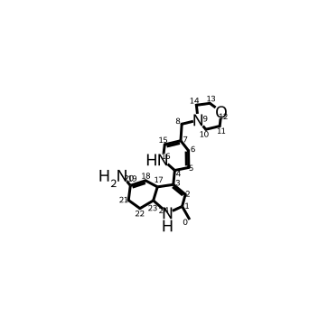 CC1C=C(C2C=CC(CN3CCOCC3)=CN2)C2C=C(N)CCC2N1